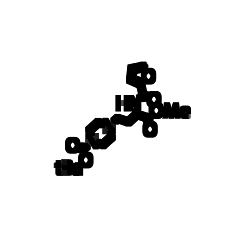 COC(=O)C(CCN1CCN(C(=O)OC(C)(C)C)CC1)NC(=O)c1ccco1